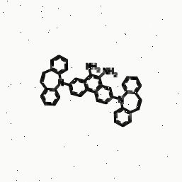 Nc1c(N)c2cc(N3c4ccccc4C=Cc4ccccc43)ccc2c2ccc(N3c4ccccc4C=Cc4ccccc43)cc12